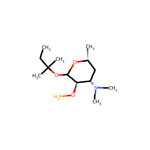 CCC(C)(C)OC1O[C@H](C)C[C@H](N(C)C)[C@H]1OP